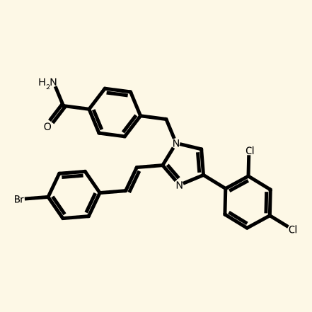 NC(=O)c1ccc(Cn2cc(-c3ccc(Cl)cc3Cl)nc2/C=C/c2ccc(Br)cc2)cc1